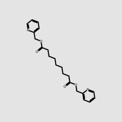 O=C(CCCCCCCC(=O)OCc1ccccn1)OCc1ccccn1